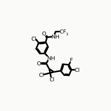 O=C(NCC(F)(F)F)c1cc(NC(=O)C2C(c3ccc(Cl)c(F)c3)C2(Cl)Cl)ccc1Cl